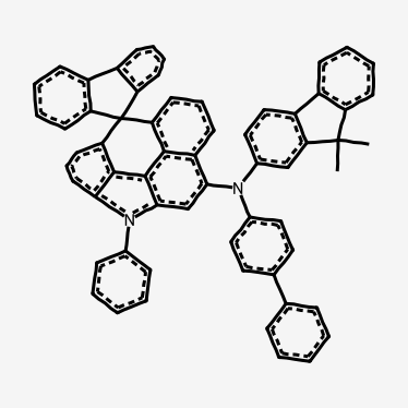 CC1(C)c2ccccc2-c2ccc(N(c3ccc(-c4ccccc4)cc3)c3cc4c5c6c(cccc36)C3(c6ccccc6-c6ccccc63)c3cccc(c35)n4-c3ccccc3)cc21